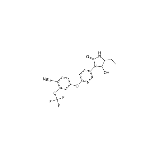 CC[C@H]1NC(=O)N(c2ccc(Oc3ccc(C#N)c(OC(F)(F)F)c3)nc2)C1O